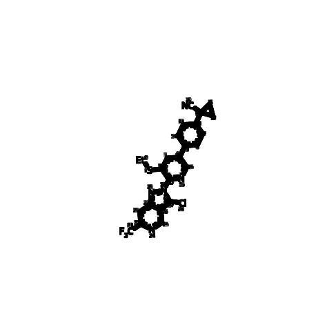 CCSc1cc(-c2ccc(C3(C#N)CC3)cc2)cnc1-n1nc2cc(C(F)(F)F)ncc2c1Cl